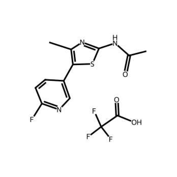 CC(=O)Nc1nc(C)c(-c2ccc(F)nc2)s1.O=C(O)C(F)(F)F